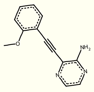 COc1ccccc1C#Cc1nccnc1N